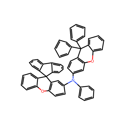 c1ccc(N(c2ccc3c(c2)Oc2ccccc2C3(c2ccccc2)c2ccccc2)c2ccc3c(c2)C2(c4ccccc4O3)c3ccccc3-c3ccccc32)cc1